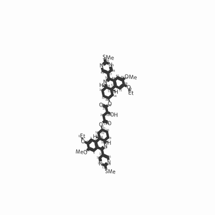 CCOc1cc2c(cc1OC)C(c1cnc(SC)nc1)=N[C@H]1CC[C@H](OC(=O)CC(O)C(=O)O[C@H]3CC[C@@H]4N=C(c5cnc(SC)nc5)c5cc(OC)c(OCC)cc5[C@@H]4C3)C[C@@H]21